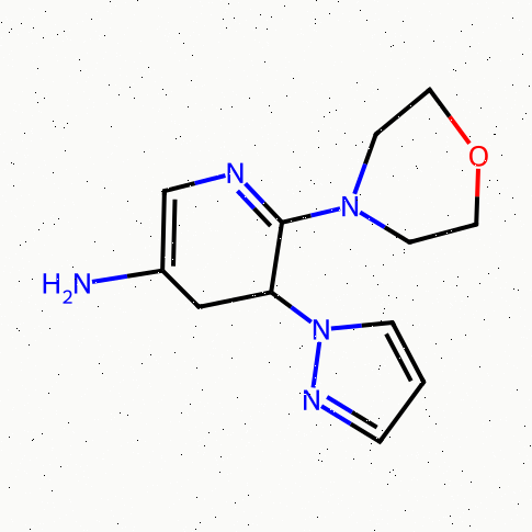 NC1=CN=C(N2CCOCC2)C(n2cccn2)C1